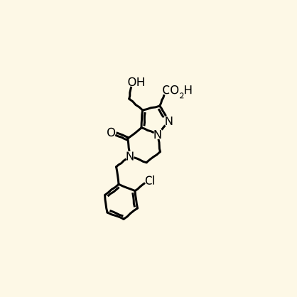 O=C(O)c1nn2c(c1CO)C(=O)N(Cc1ccccc1Cl)CC2